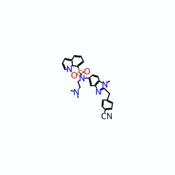 CN(C)CCN(c1ccc2c(c1)nc(Cc1ccc(C#N)cc1)n2C)S(=O)(=O)c1cccc2cccnc12